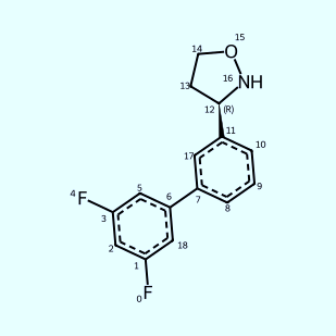 Fc1cc(F)cc(-c2cccc([C@H]3CCON3)c2)c1